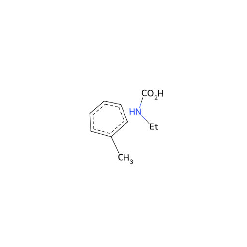 CCNC(=O)O.Cc1ccccc1